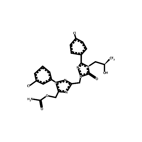 NC(=O)OCc1nc(Cn2nc(-c3ccc(Cl)cc3)n(C[C@H](O)C(F)(F)F)c2=O)nn1-c1cccc(Cl)c1